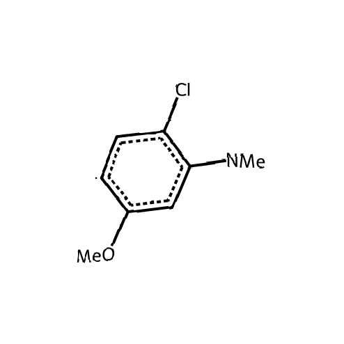 CNc1cc(OC)[c]cc1Cl